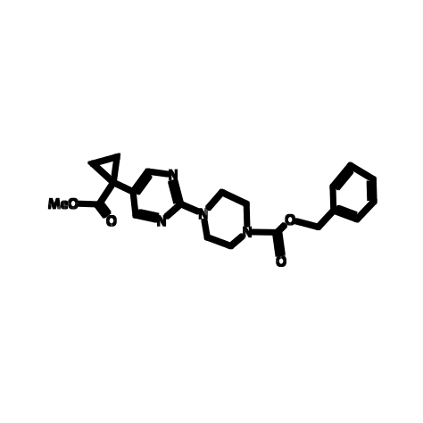 COC(=O)C1(c2cnc(N3CCN(C(=O)OCc4ccccc4)CC3)nc2)CC1